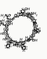 CCCC[C@H]1C(=O)N(C)[C@@H](CCCC)C(=O)N[C@@H](CCCNC(=N)N)C(=O)NC(C(=O)NCC(N)=O)CSCC(=O)N[C@@H](Cc2ccc(O)cc2)C(=O)N(C)[C@@H](CO)C(=O)N[C@@H](CC(N)=O)C(=O)N2CCC[C@H]2C(=O)N[C@@H](Cc2cnc[nH]2)C(=O)N[C@@H](CC(C)C)C(=O)N2C[C@H](O)C[C@H]2C(=O)N[C@@H](Cc2c[nH]c3ccccc23)C(=O)N[C@@H](CO)C(=O)N[C@@H](Cc2csc3ccccc23)C(=O)N1C